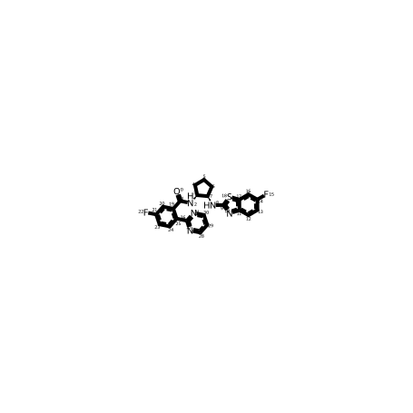 O=C(N[C@@H]1CCC[C@@H]1Nc1nc2ccc(F)cc2s1)c1cc(F)ccc1-c1ncccn1